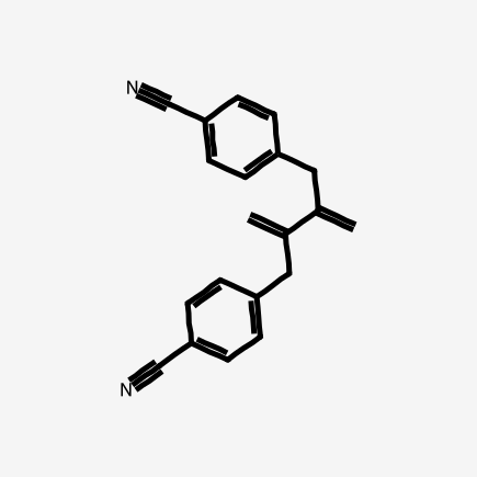 C=C(Cc1ccc(C#N)cc1)C(=C)Cc1ccc(C#N)cc1